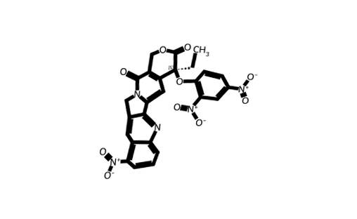 CC[C@@]1(Oc2ccc([N+](=O)[O-])cc2[N+](=O)[O-])C(=O)OCc2c1cc1n(c2=O)Cc2cc3c([N+](=O)[O-])cccc3nc2-1